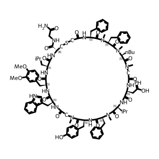 CCCC[C@H]1C(=O)N(C)CC(=O)N[C@@H](CC(O)=P)C(=O)N[C@@H](C(C)C)C(=O)N(C)[C@@H](Cc2ccccc2)C(=O)N[C@@H](Cc2ccc(O)cc2)C(=O)N(C)CC(=O)N[C@@H](Cc2c[nH]c3ccccc23)C(=O)N[C@@H](Cc2ccc(OC)c(OC)c2)C(=O)N[C@@H](CC(C)C)C(=O)N[C@H](C(=O)NCC(N)=O)CSCC(=O)N[C@@H](Cc2ccccc2)C(=O)N(C)[C@@H](Cc2ccccc2)C(=O)N1C